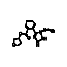 O=C=NN1NNN=C1c1ccccc1C(=O)OC1CCOC1